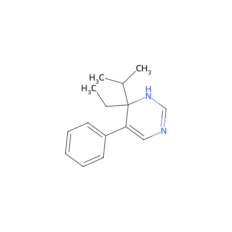 CCC1(C(C)C)NC=NC=C1c1ccccc1